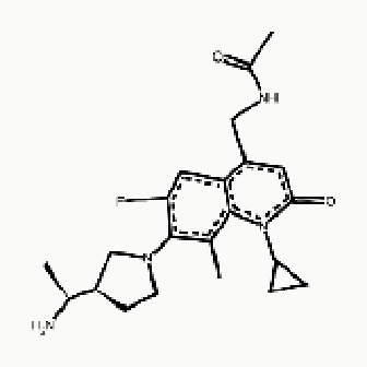 CC(=O)NCc1cc(=O)n(C2CC2)c2c(C)c(N3CC[C@@H]([C@H](C)N)C3)c(F)cc12